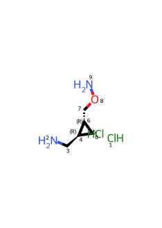 Cl.Cl.NC[C@@H]1C[C@H]1CON